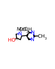 COc1nc(C)ncc1C1C[C@@H](O)CN1C(=O)O